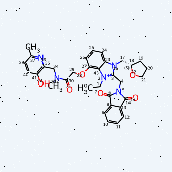 CC[n+]1c(CN2C(=O)c3ccccc3C2=O)n(C[C@@H]2CCCO2)c2cccc(OCC(=O)N(C)Cc3nc(C)ccc3O)c21